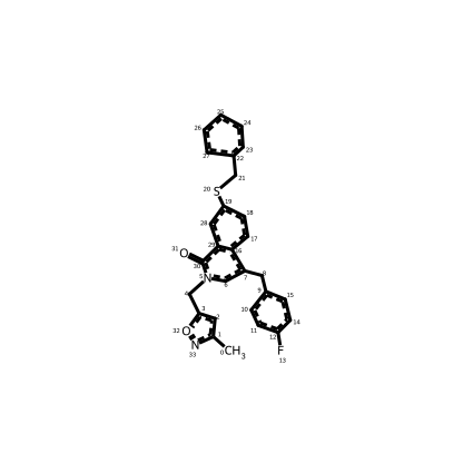 Cc1cc(Cn2cc(Cc3ccc(F)cc3)c3ccc(SCc4ccccc4)cc3c2=O)on1